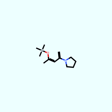 C=C(/C=C(/C)O[Si](C)(C)C)N1CCCC1